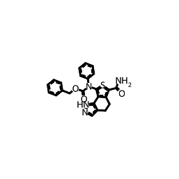 NC(=O)c1sc(N(C(=O)OCc2ccccc2)c2ccccc2)c2c1CCc1cn[nH]c1-2